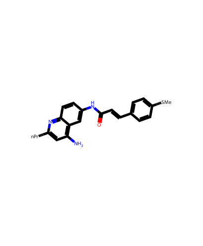 CCCc1cc(N)c2cc(NC(=O)C=Cc3ccc(SC)cc3)ccc2n1